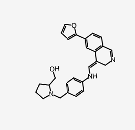 OCC1CCCN1Cc1ccc(NC=C2CN=Cc3ccc(-c4ccco4)cc32)cc1